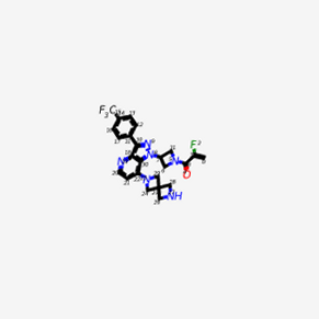 C=C(F)C(=O)N1CC(n2nc(-c3ccc(C(F)(F)F)cc3)c3nccc(N4CC5(CNC5)C4)c32)C1